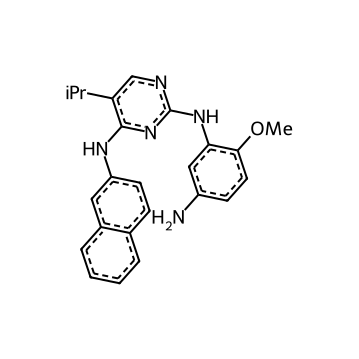 COc1ccc(N)cc1Nc1ncc(C(C)C)c(Nc2ccc3ccccc3c2)n1